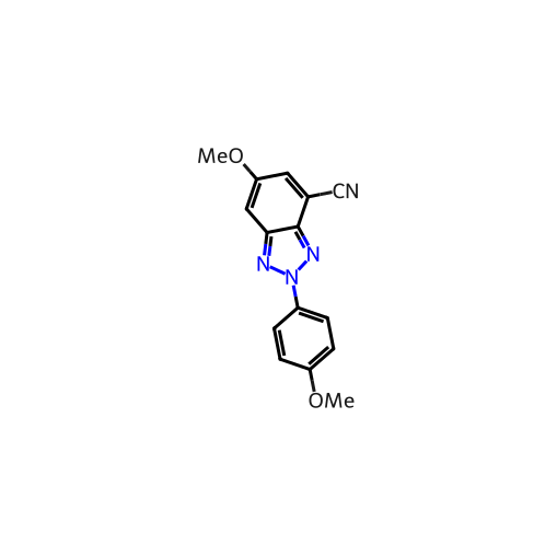 COc1ccc(-n2nc3cc(OC)cc(C#N)c3n2)cc1